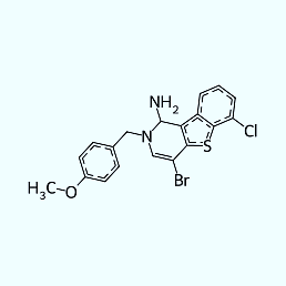 COc1ccc(CN2C=C(Br)c3sc4c(Cl)cccc4c3C2N)cc1